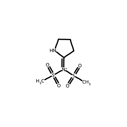 CS(=O)(=O)[N+](=C1CCCN1)S(C)(=O)=O